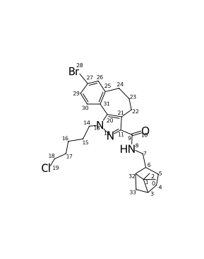 CC1(C)C2CCC(CNC(=O)c3nn(CCCCCCl)c4c3CCCc3cc(Br)ccc3-4)C1C2